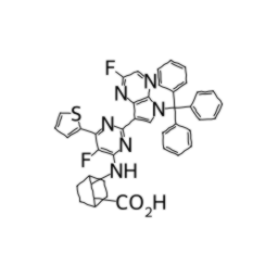 O=C(O)C1C2CCC(CC2)C1Nc1nc(-c2cn(C(c3ccccc3)(c3ccccc3)c3ccccc3)c3ncc(F)nc23)nc(-c2cccs2)c1F